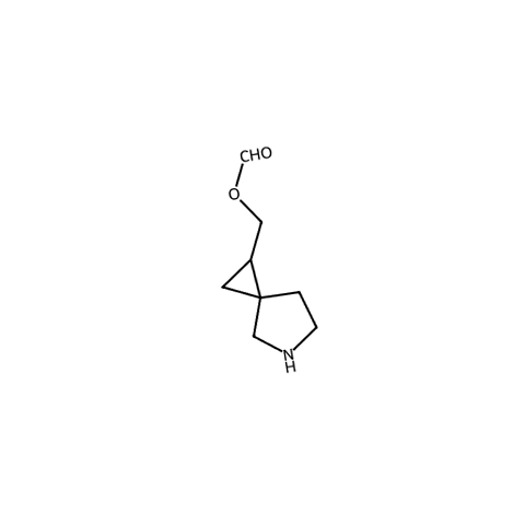 O=COCC1CC12CCNC2